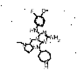 CCN1CCCC1CN1C(NC2CCCNCC2)=NC(N)=NC1Nc1ccc(OC)c(F)c1